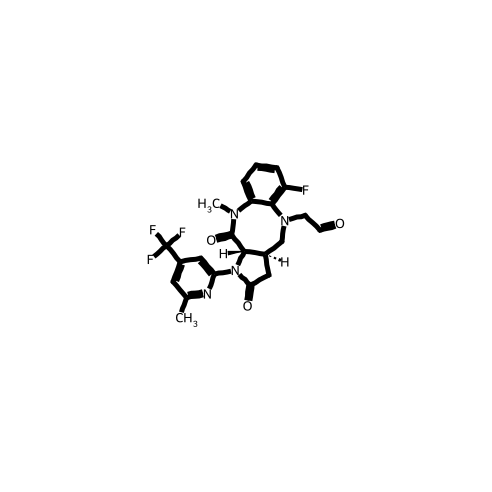 Cc1cc(C(F)(F)F)cc(N2C(=O)C[C@@H]3CN(CC=O)c4c(F)cccc4N(C)C(=O)[C@H]32)n1